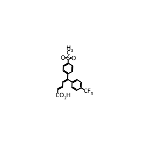 CS(=O)(=O)c1ccc(C(=CC=CC(=O)O)c2ccc(C(F)(F)F)cc2)cc1